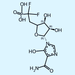 NC(=O)c1ncn([C@@H]2OC(CC(F)(F)P(=O)(O)O)[C@@H](O)[C@H]2O)c1O